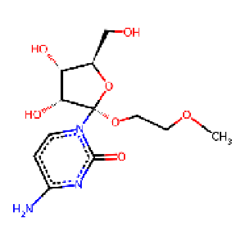 COCCO[C@@]1(n2ccc(N)nc2=O)O[C@H](CO)[C@@H](O)[C@H]1O